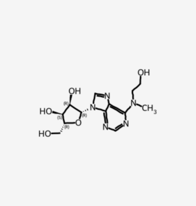 CN(CCO)c1ncnc2c1ncn2[C@@H]1O[C@H](CO)[C@@H](O)[C@H]1O